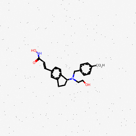 O=C(C=Cc1ccc2c(c1)CCC2N(CCO)Cc1ccc(C(=O)O)cc1)NO